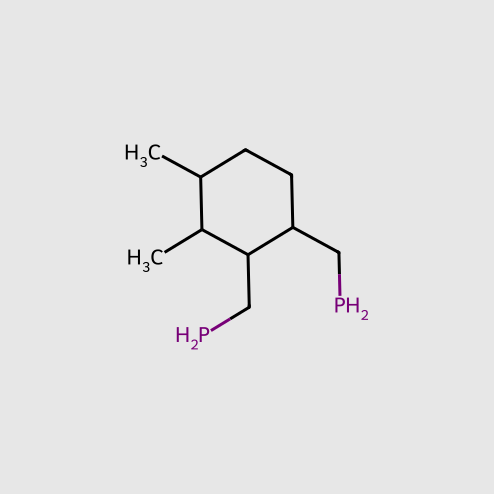 CC1CCC(CP)C(CP)C1C